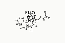 CCS(=O)(=O)O[N+]1=C2c3ccccc3C=CN2NC(C)=C1NCCCN(C)C